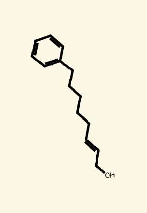 OC/C=C/CCCCCc1ccccc1